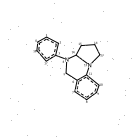 c1ccc(N2Cc3ccccc3N3CCCC23)cc1